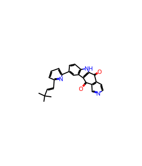 CC(C)(C)/C=C/c1cccc(-c2ccc3[nH]c4c(c3c2)C(=O)c2cnccc2C4=O)n1